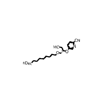 CCCCCCCCCCCCCCCCCCOC[C@H](CO)Oc1ccc(C#N)nc1